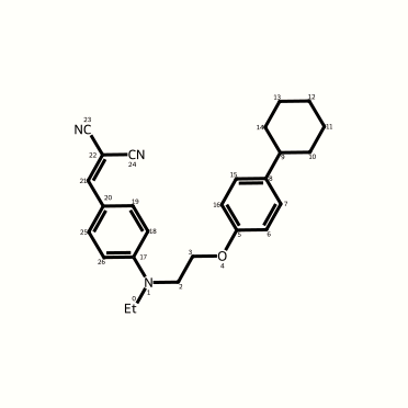 CCN(CCOc1ccc(C2CCCCC2)cc1)c1ccc(C=C(C#N)C#N)cc1